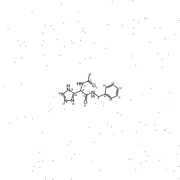 CC(=O)NC(C(=O)NCc1ccccc1)c1nnn[nH]1